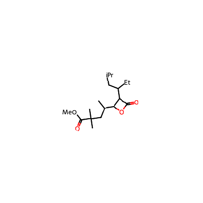 CCC(CC(C)C)C1C(=O)OC1C(C)CC(C)(C)C(=O)OC